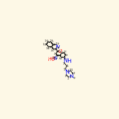 CN1CCN(CCCNc2ccc3oc(-c4cc5ccccc5cn4)cc(=NO)c3c2)CC1